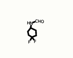 O=CNC1CCC(F)(F)CC1